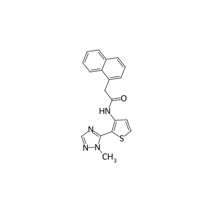 Cn1ncnc1-c1sccc1NC(=O)Cc1cccc2ccccc12